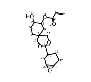 C=CC(=O)OC1CC2(CCC1O)COC(C1CCC3OC3C1)OC2